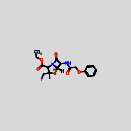 CC1(CI)S[C@H]2C(NC(=O)COc3ccccc3)C(=O)N2C1C(=O)OCC(Cl)(Cl)Cl